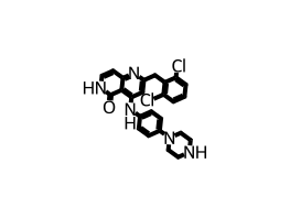 O=c1[nH]ccc2nc(Cc3c(Cl)cccc3Cl)cc(Nc3ccc(N4CCNCC4)cc3)c12